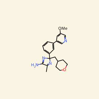 COc1cncc(-c2cccc(C3(CC4CCOCC4)N=C(C)C(N)=N3)c2)c1